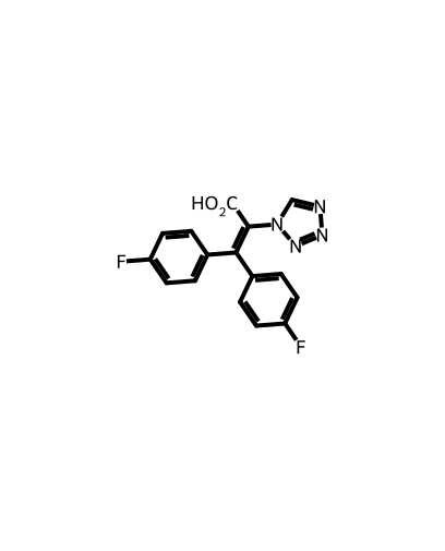 O=C(O)C(=C(c1ccc(F)cc1)c1ccc(F)cc1)n1cnnn1